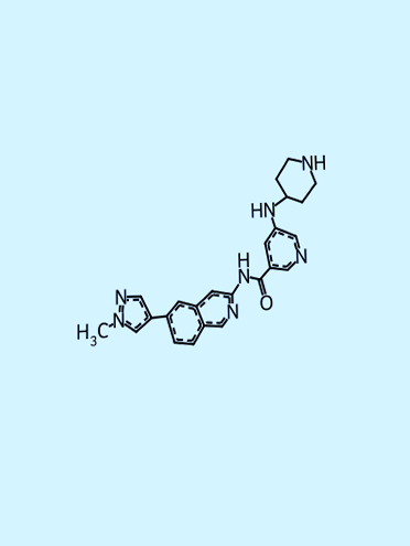 Cn1cc(-c2ccc3cnc(NC(=O)c4cncc(NC5CCNCC5)c4)cc3c2)cn1